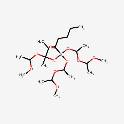 CCCCC(=O)[Si](OC(C)OC(C)OC)(OC(C)OC(C)OC)OC(C)(CC)OC(C)OC